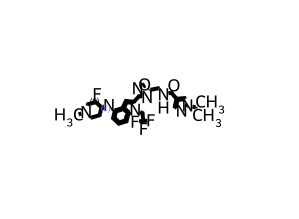 CC(C)n1cc(C(=O)NCc2nc(-c3cc4c(/N=C5\CCN(C)C[C@@H]5F)cccc4n3CC(F)(F)F)no2)cn1